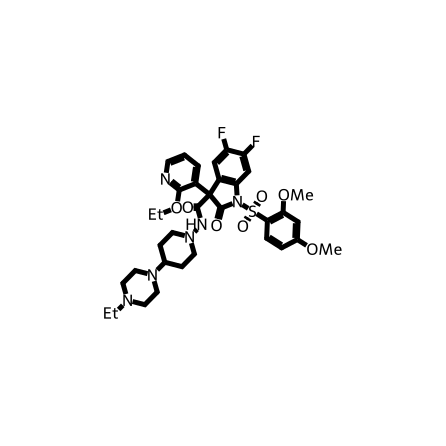 CCOc1ncccc1C1(C(=O)NN2CCC(N3CCN(CC)CC3)CC2)C(=O)N(S(=O)(=O)c2ccc(OC)cc2OC)c2cc(F)c(F)cc21